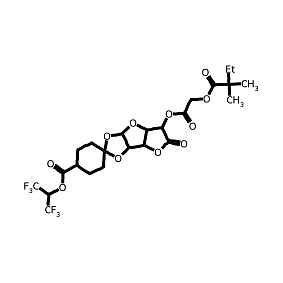 CCC(C)(C)C(=O)OCC(=O)OC1C(=O)OC2C3OC4(CCC(C(=O)OC(C(F)(F)F)C(F)(F)F)CC4)OC3OC12